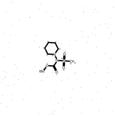 CC(C)(C)OC(=O)N(N1CCCCC1)S(C)(=O)=O